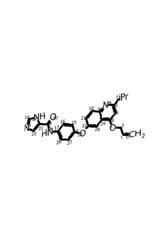 C=CCOc1cc(C(C)C)nc2ccc(Oc3ccc(NC(=O)c4cnc[nH]4)cc3)cc12